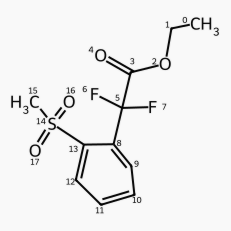 CCOC(=O)C(F)(F)c1ccccc1S(C)(=O)=O